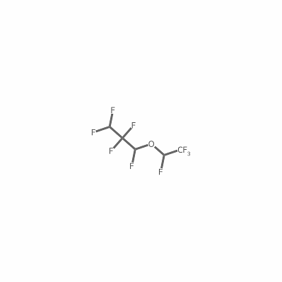 FC(OC(F)C(F)(F)C(F)F)C(F)(F)F